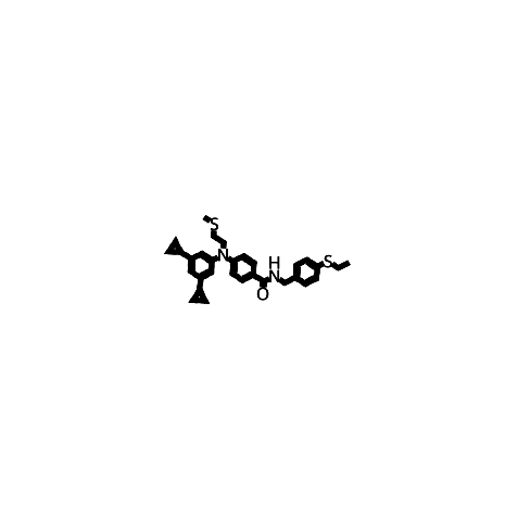 CCSc1ccc(CNC(=O)c2ccc(N(CCSC)c3cc(C4CC4)cc(C4CC4)c3)cc2)cc1